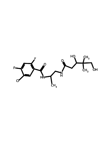 CC(CNC(=O)CC(O)C(C)(C)CO)NC(=O)c1cc(Cl)c(F)cc1F